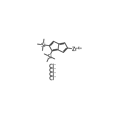 C[Si](C)(C)C1=CC2=C[C]([Zr+4])=CC2=C1[Si](C)(C)C.[Cl-].[Cl-].[Cl-].[Cl-]